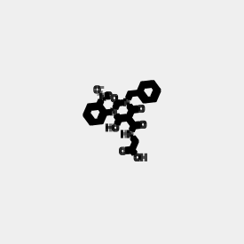 O=C(O)CNC(=O)c1c(O)n(-c2ccccc2[N+](=O)[O-])c(=O)n(Cc2ccccc2)c1=O